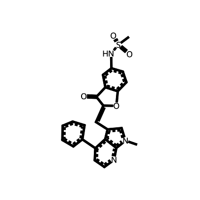 Cn1cc(/C=C2\Oc3ccc(NS(C)(=O)=O)cc3C2=O)c2c(-c3ccccc3)ccnc21